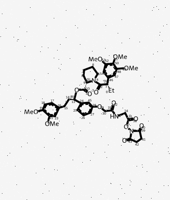 CC[C@H](C(=O)N1CCCC[C@H]1C(=O)O[C@H](CCc1ccc(OC)c(OC)c1)c1cccc(OCC(=O)NCC(=O)ON2C(=O)CCC2=O)c1)c1cc(OC)c(OC)c(OC)c1